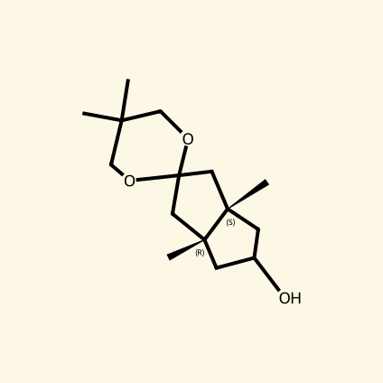 CC1(C)COC2(C[C@]3(C)CC(O)C[C@]3(C)C2)OC1